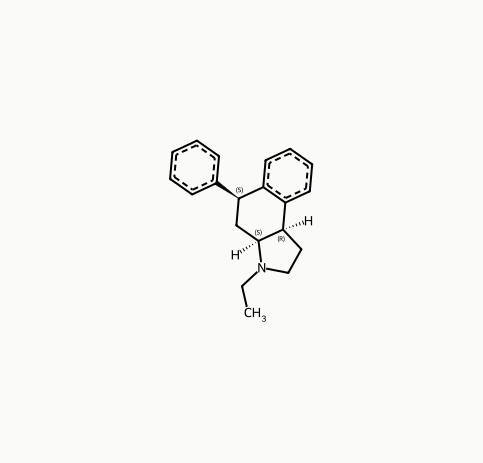 CCN1CC[C@@H]2c3ccccc3[C@H](c3ccccc3)C[C@@H]21